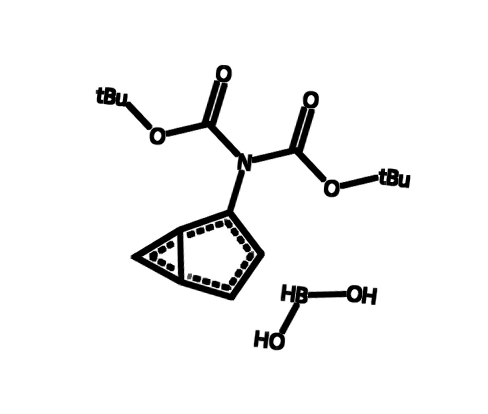 CC(C)(C)OC(=O)N(C(=O)OC(C)(C)C)c1ccc2cc1-2.OBO